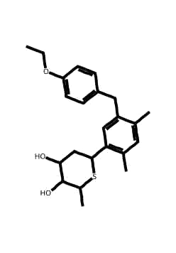 CCOc1ccc(Cc2cc(C3CC(O)C(O)C(C)S3)c(C)cc2C)cc1